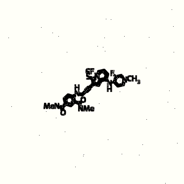 CNC(=O)c1ccc(NCC#Cc2cc3c(N[C@@H]4CCN(C)C[C@@H]4F)cccn3c2SC(F)(F)F)c(C(=O)NC)c1